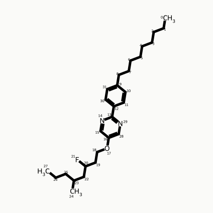 CCCCCCCCCc1ccc(-c2ncc(OCCC(F)CC(C)CCC)cn2)cc1